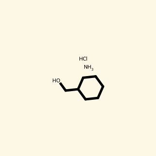 Cl.N.OCC1CCCCC1